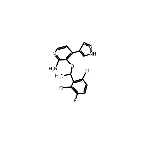 CC(Oc1c(-c2cn[nH]c2)ccnc1N)c1c(Cl)ccc(F)c1Cl